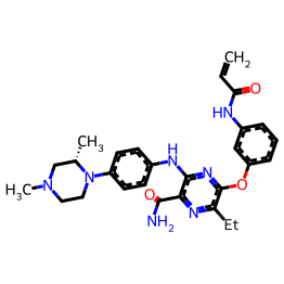 C=CC(=O)Nc1cccc(Oc2nc(Nc3ccc(N4CCN(C)C[C@@H]4C)cc3)c(C(N)=O)nc2CC)c1